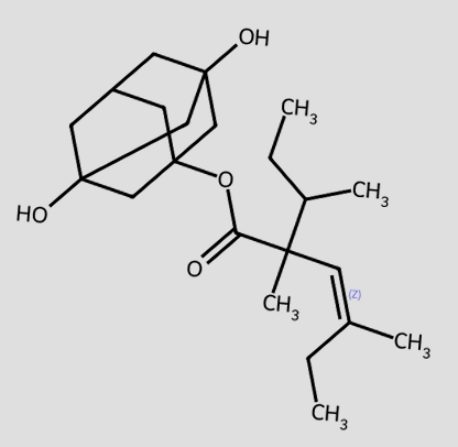 CC/C(C)=C\C(C)(C(=O)OC12CC3CC(O)(CC(O)(C3)C1)C2)C(C)CC